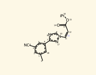 Cc1cc(C#N)cc(-c2ncn(/C=C\C(=O)OC(C)C)n2)c1